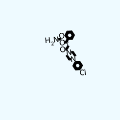 NC(=O)O[C@@H](CC(=O)N1CCN(c2ccc(Cl)cc2)CC1)c1ccccc1